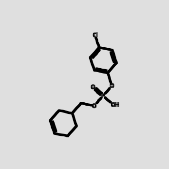 O=P(O)(OCC1CC=CCC1)Oc1ccc(Cl)cc1